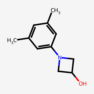 Cc1cc(C)cc(N2CC(O)C2)c1